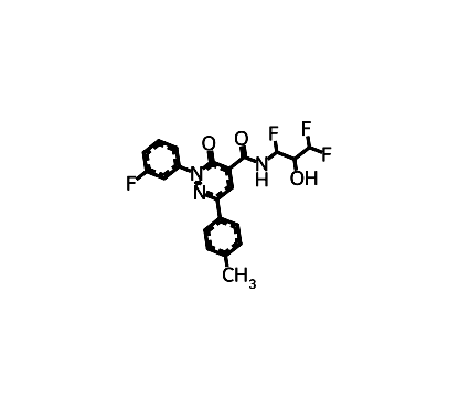 Cc1ccc(-c2cc(C(=O)NC(F)C(O)C(F)F)c(=O)n(-c3cccc(F)c3)n2)cc1